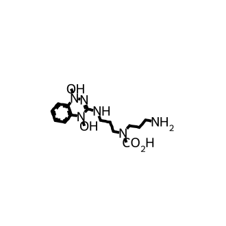 NCCCN(CCCNC1=NN(O)c2ccccc2N1O)C(=O)O